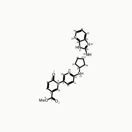 COC(=O)c1ccc(=O)n(-c2ccc(N[C@H]3CC[C@H](Nc4nc5cccnc5[nH]4)C3)nc2)c1